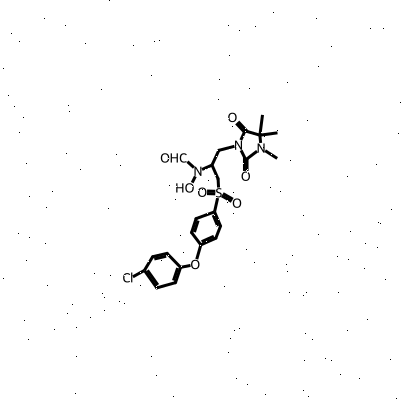 CN1C(=O)N(CC(CS(=O)(=O)c2ccc(Oc3ccc(Cl)cc3)cc2)N(O)C=O)C(=O)C1(C)C